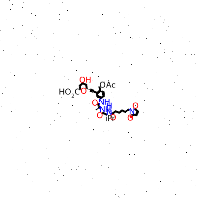 CC(=O)OCc1ccc(NC(=O)[C@H](C)NC(=O)[C@@H](NC(=O)CCCCCN2C(=O)C=CC2=O)C(C)C)cc1C#C[C@H]1C[C@@H](O)C[C@@H](C(=O)O)O1